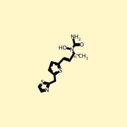 C[C@H](C=Cc1ccc(Cc2nccs2)s1)N(O)C(N)=O